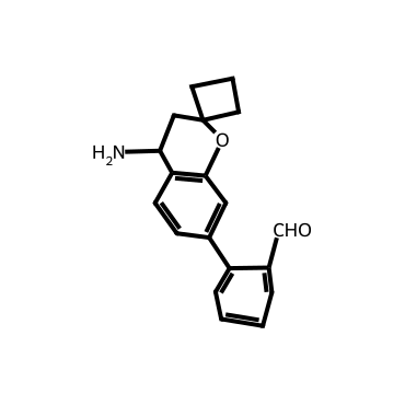 NC1CC2(CCC2)Oc2cc(-c3ccccc3C=O)ccc21